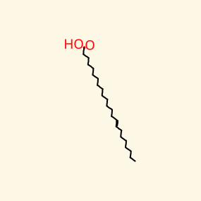 CCCCCCCC=CCCCCCCCCCCCCCC(=O)O